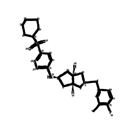 Cc1cc(CN2C[C@H]3C[C@H](Nc4ccc(S(=O)(=O)C5CCCCC5)nn4)C[C@H]3C2)ccc1F